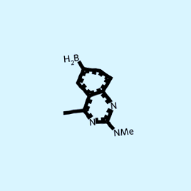 Bc1ccc2nc(NC)nc(C)c2c1